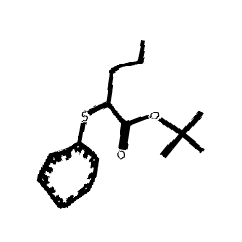 CCCC(Sc1ccccc1)C(=O)OC(C)(C)C